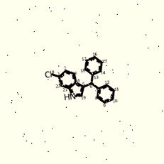 Clc1ccc2c(C(c3ccccc3)c3ccccc3)c[nH]c2c1